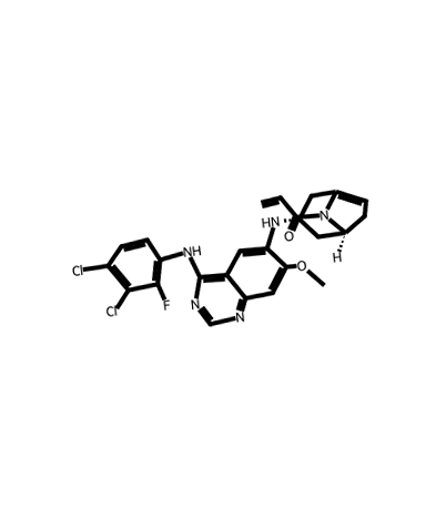 C=CC(=O)N1C2=CC[C@H]1C[C@H](Nc1cc3c(Nc4ccc(Cl)c(Cl)c4F)ncnc3cc1OC)C2